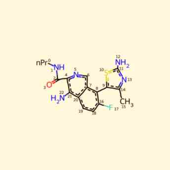 CCCNC(=O)c1ncc2c(-c3sc(N)nc3C)c(F)ccc2c1N